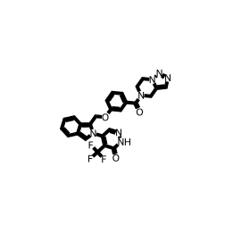 O=C(c1cccc(OCc2c3ccccc3cn2-c2cn[nH]c(=O)c2C(F)(F)F)c1)N1CCn2nncc2C1